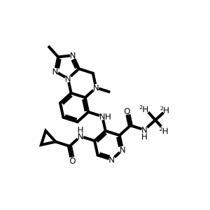 [2H]C([2H])([2H])NC(=O)c1nncc(NC(=O)C2CC2)c1Nc1cccc2c1N(C)Cc1nc(C)nn1-2